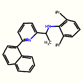 CC(C)c1cccc(C(C)C)c1NC(C)c1cccc(-c2cccc3ccccc23)n1